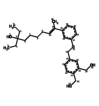 CCC(O)(CC)CCCCC=C(C)c1cccc(OCc2ccc(CO)c(CO)c2)c1